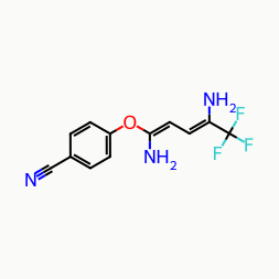 N#Cc1ccc(O/C(N)=C/C=C(\N)C(F)(F)F)cc1